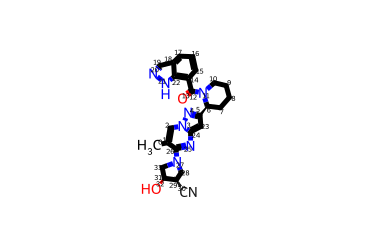 Cc1cn2nc([C@@H]3CCCCN3C(=O)c3cccc4cn[nH]c34)cc2nc1N1C[C@@H](C#N)[C@@H](O)C1